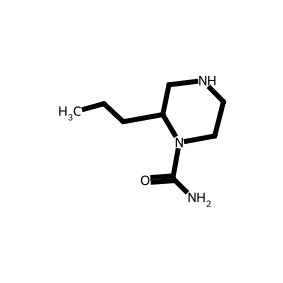 CCCC1CNCCN1C(N)=O